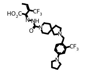 C/C=C(\C(=N/NC(=O)N1CCC2(CCN(Cc3ccc(N4CCCC4)cc3C(F)(F)F)C2)CC1)C(=O)O)C(F)(F)F